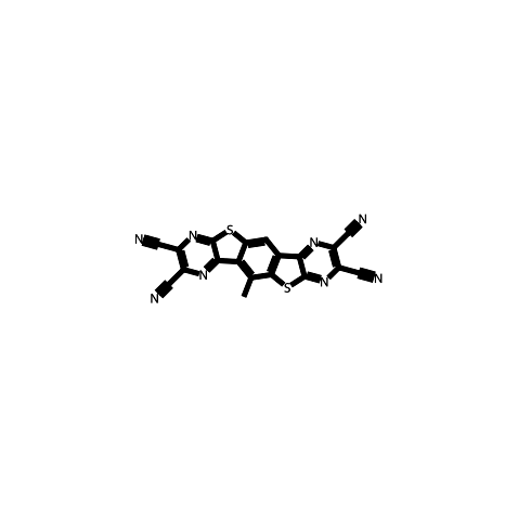 Cc1c2sc3nc(C#N)c(C#N)nc3c2cc2sc3nc(C#N)c(C#N)nc3c12